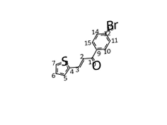 O=C(C=Cc1cccs1)c1ccc(Br)cc1